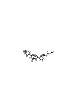 C=C/C=C(\C)CNc1cccc(-c2nn3c(=O)cc(N4CCNCC4)nc3s2)c1